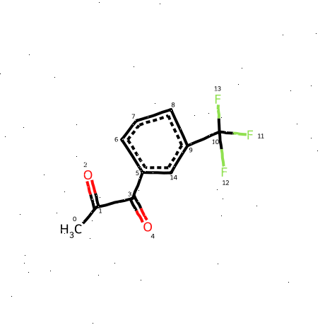 CC(=O)C(=O)c1cccc(C(F)(F)F)c1